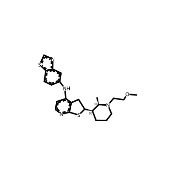 COCCN1CCC[C@@H](C2Cc3c(Nc4ccc5scnc5c4)ccnc3S2)[C@H]1C